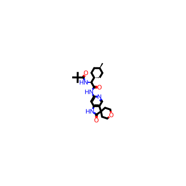 CC(C)(C)C(=O)N[C@H](C(=O)Nc1cc2c(cn1)C1(CCOCC1)C(=O)N2)[C@H]1CC[C@H](C)CC1